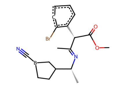 COC(=O)[C@H](/C(C)=N/[C@H](C)C1CCB(C#N)C1)c1ccccc1Br